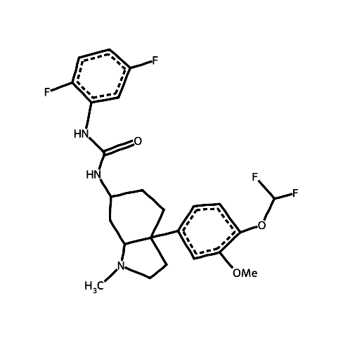 COc1cc(C23CCC(NC(=O)Nc4cc(F)ccc4F)CC2N(C)CC3)ccc1OC(F)F